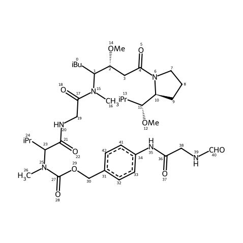 CCC(C)C([C@@H](CC(=O)N1CCC[C@H]1[C@H](OC)C(C)C)OC)N(C)C(=O)CNC(=O)C(C(C)C)N(C)C(=O)OCc1ccc(NC(=O)CNC=O)cc1